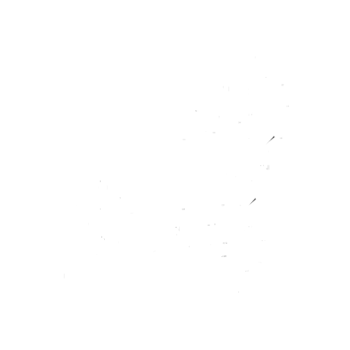 C=CC(=O)N1CC(C)(C)Oc2cc(N3CCC4(CC3)C[C@@H](CC(=O)N[C@H](Cc3ccc(F)c(F)c3)C3CCS(=O)(=O)CC3)c3ccc(F)cc34)ccc21